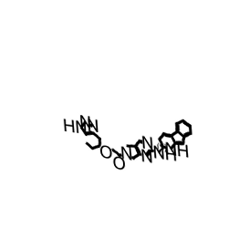 CCC(Cc1c[nH]nn1)OCC(=O)N1Cc2cnc(N[C@H]3CC=C4C(=Cc5ccccc54)N3)nc2C1